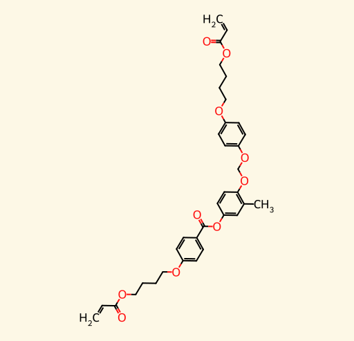 C=CC(=O)OCCCCOc1ccc(OCOc2ccc(OC(=O)c3ccc(OCCCCOC(=O)C=C)cc3)cc2C)cc1